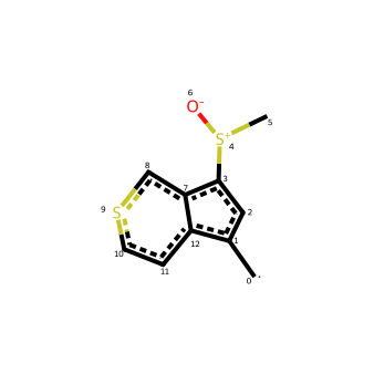 [CH2]c1cc([S+](C)[O-])c2csccc1-2